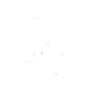 Cc1ccc2c(c1)c1c(n2CC(C)(C)c2ccncc2)CN(C)CC1